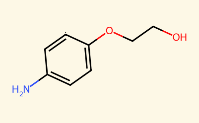 Nc1c[c]c(OCCO)cc1